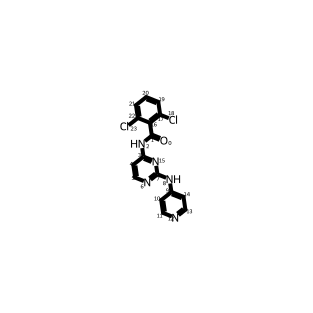 O=C(Nc1ccnc(Nc2ccncc2)n1)c1c(Cl)cccc1Cl